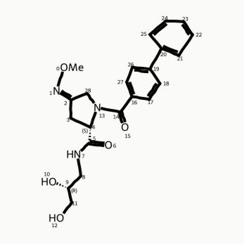 CON=C1C[C@@H](C(=O)NC[C@@H](O)CO)N(C(=O)c2ccc(-c3ccccc3)cc2)C1